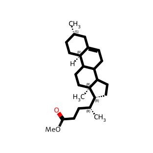 COC(=O)CC[C@@H](C)[C@H]1CCC2C3CC=C4C[C@@H](C)CC[C@@H]4C3CC[C@@]21C